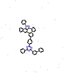 c1ccc(-c2cccc(-c3nc(-c4ccccc4)nc(-c4ccc(-c5cccc(-c6cc7ccccc7c7c6c(-c6ccccc6)nn7-c6ccccc6)c5)cc4)n3)c2)cc1